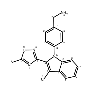 Cc1nc(-c2c(Cl)c3ccccc3n2-c2ccc(CN)cc2)no1